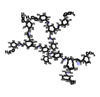 COc1cccc(/C=C/c2cc(/C=C/c3ccc(/C(=C(\c4ccccc4)c4ccc(/C=C/c5cc(/C=C/c6cccc(OC)c6)cc(/C=C/c6cccc(OC)c6)c5)cc4)c4ccc(/C=C/c5cc(/C=C/c6cccc(OC)c6)cc(/C=C/c6cccc(OC)c6)c5)cc4)cc3)cc(/C=C/c3cccc(O)c3)c2)c1